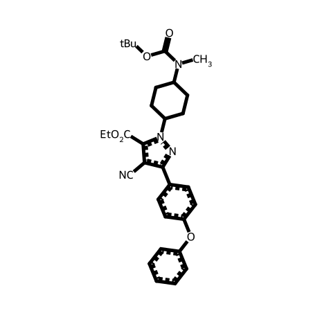 CCOC(=O)c1c(C#N)c(-c2ccc(Oc3ccccc3)cc2)nn1C1CCC(N(C)C(=O)OC(C)(C)C)CC1